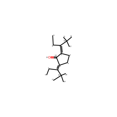 CC/C(=C1/CC/C(=C(/CC)C(C)(C)C)C1=O)C(C)(C)C